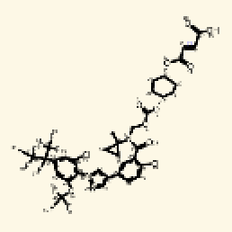 CC1(N(COC(=O)O[C@H]2CC[C@@H](OC(=O)/C=C/C(=O)O)CC2)C(=O)c2cc(-c3cnn(-c4c(Cl)cc(C(F)(C(F)(F)F)C(F)(F)F)cc4OC(F)(F)F)c3)ccc2Cl)CC1